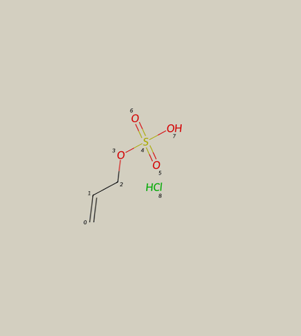 C=CCOS(=O)(=O)O.Cl